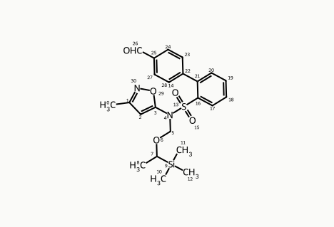 Cc1cc(N(COC(C)[Si](C)(C)C)S(=O)(=O)c2ccccc2-c2ccc(C=O)cc2)on1